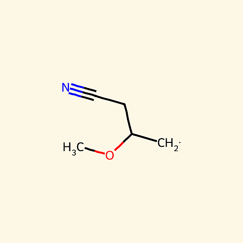 [CH2]C(CC#N)OC